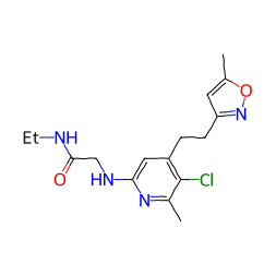 CCNC(=O)CNc1cc(CCc2cc(C)on2)c(Cl)c(C)n1